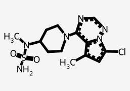 Cc1cc(Cl)n2ncnc(N3CCC(N(C)S(N)(=O)=O)CC3)c12